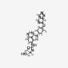 Cc1cc(Nc2ncnc3ccc(NC4=NC(C)(CO)CO4)cc23)ccc1Oc1cc2nncn2cn1